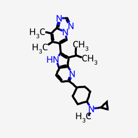 Cc1c(-c2[nH]c3ccc(C4CCC(N(C)C5CC5)CC4)nc3c2C(C)C)cn2ncnc2c1C